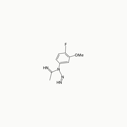 COc1cc(N(N=N)C(C)=N)ccc1F